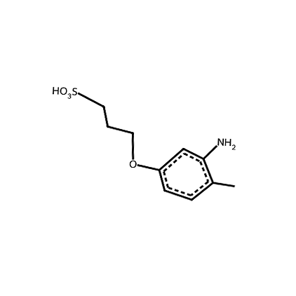 Cc1ccc(OCCCS(=O)(=O)O)cc1N